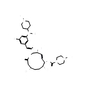 CC(=O)N1CCC(N(C)c2cc(F)cc(/C=C(\C)[C@H]3OC(=O)C[C@H](O)CC[C@H](C)[C@H](OC(=O)N4CCN(C)CC4)/C=C/[C@@H]3C)c2)CC1